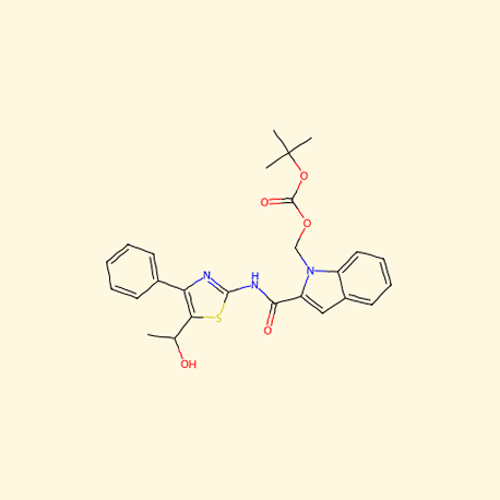 CC(O)c1sc(NC(=O)c2cc3ccccc3n2COC(=O)OC(C)(C)C)nc1-c1ccccc1